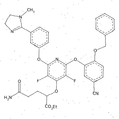 CCOC(=O)C(CCC(N)=O)Oc1c(F)c(Oc2cccc(C3=NCCN3C)c2)nc(Oc2cc(C#N)ccc2OCc2ccccc2)c1F